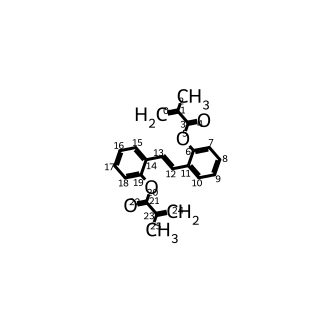 C=C(C)C(=O)Oc1ccccc1/C=C/c1ccccc1OC(=O)C(=C)C